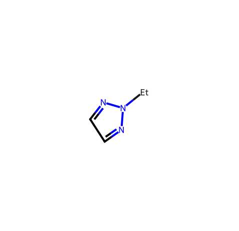 CCn1nccn1